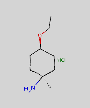 CCO[C@H]1CC[C@@](C)(N)CC1.Cl